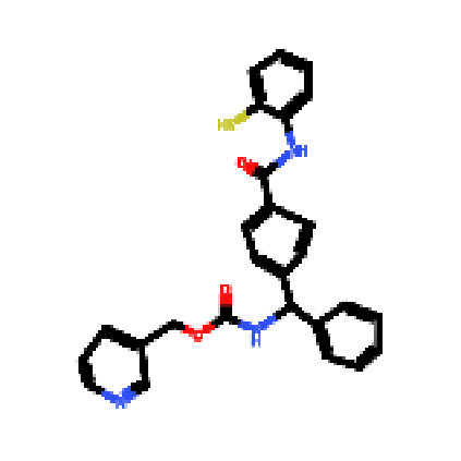 O=C(NC(c1ccccc1)c1ccc(C(=O)Nc2ccccc2S)cc1)OCc1cccnc1